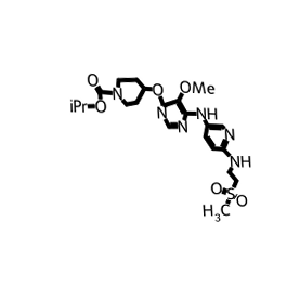 COc1c(Nc2ccc(NCCS(C)(=O)=O)nc2)ncnc1OC1CCN(C(=O)OC(C)C)CC1